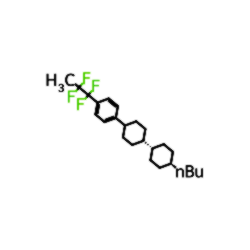 CCCC[C@H]1CC[C@H](C2CCC(c3ccc(C(F)(F)C(C)(F)F)cc3)CC2)CC1